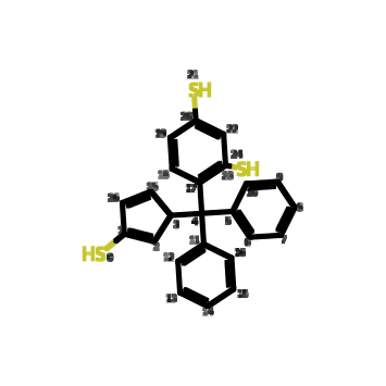 SC1=CC(C(c2ccccc2)(c2ccccc2)c2ccc(S)cc2S)C=C1